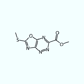 COC(=O)c1nnc2nc(SC)oc2n1